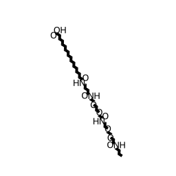 CCCCNC(=O)COCCOCCNC(=O)COCCOCCNC(=O)CCCNC(=O)CCCCCCCCCCCCCCCCC(=O)O